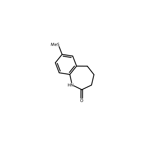 CSc1ccc2c(c1)CCCC(=O)N2